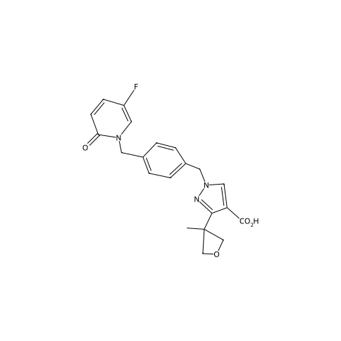 CC1(c2nn(Cc3ccc(Cn4cc(F)ccc4=O)cc3)cc2C(=O)O)COC1